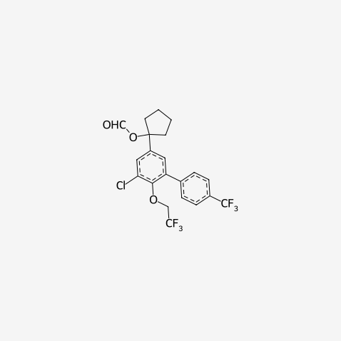 O=COC1(c2cc(Cl)c(OCC(F)(F)F)c(-c3ccc(C(F)(F)F)cc3)c2)CCCC1